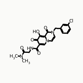 CN(C)C(=O)CNC(=O)c1cn2ccn(Cc3cccc(Cl)c3)c(=O)c2c(O)c1=O